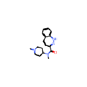 CN1CCC(N(C)C(=O)C2=NNc3ccccc3C=C2)CC1